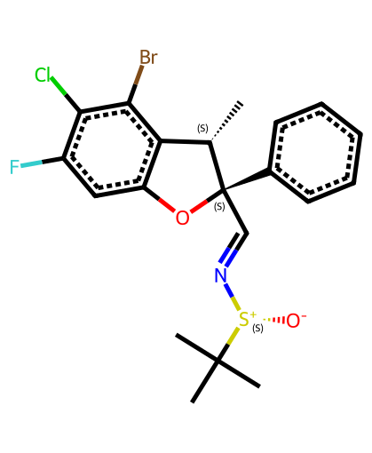 C[C@H]1c2c(cc(F)c(Cl)c2Br)O[C@]1(C=N[S@+]([O-])C(C)(C)C)c1ccccc1